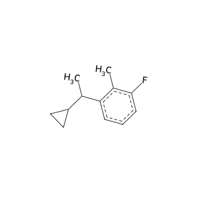 Cc1c(F)cccc1C(C)C1CC1